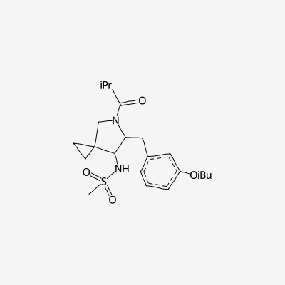 CC(C)COc1cccc(CC2C(NS(C)(=O)=O)C3(CC3)CN2C(=O)C(C)C)c1